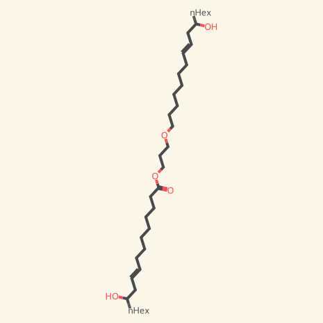 CCCCCCC(O)C/C=C/CCCCCCCOCCCOC(=O)CCCCCCC/C=C/CC(O)CCCCCC